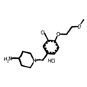 COCCOc1ccc(CN2CCC(N)CC2)cc1Cl.Cl